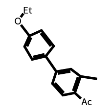 CCOc1ccc(-c2ccc(C(C)=O)c(C)c2)cc1